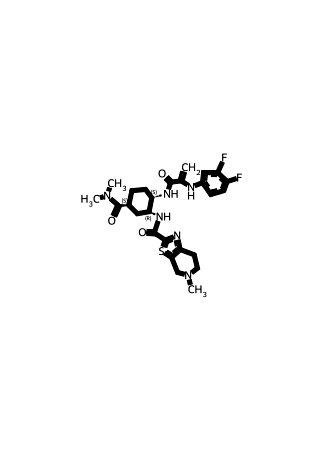 C=C(Nc1ccc(F)c(F)c1)C(=O)N[C@H]1CC[C@H](C(=O)N(C)C)C[C@H]1NC(=O)c1nc2c(s1)CN(C)CC2